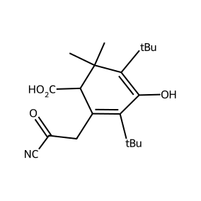 CC(C)(C)C1=C(CC(=O)C#N)C(C(=O)O)C(C)(C)C(C(C)(C)C)=C1O